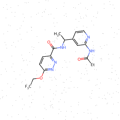 CCC(=O)Nc1cc(C(C)NC(=O)c2ccc(OCC(F)(F)F)nn2)ccn1